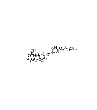 COCCOc1ccc(C#Cc2ccc(CC(C)NC(C)=O)cc2)cn1